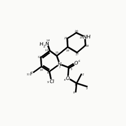 CC(C)(C)OC(=O)N1C(Cl)=C(F)C=C(N)C1C1CCNCC1